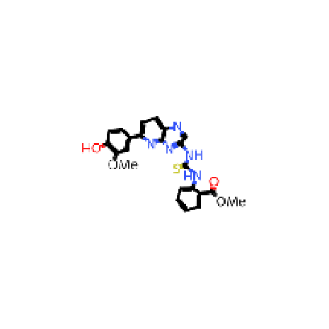 COC(=O)c1ccccc1NC(=S)Nc1cnc2ccc(-c3ccc(O)c(OC)c3)nc2n1